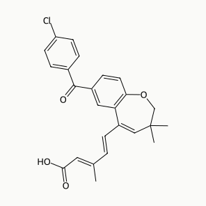 CC(C=CC1=CC(C)(C)COc2ccc(C(=O)c3ccc(Cl)cc3)cc21)=CC(=O)O